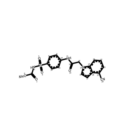 COC(=O)NS(=O)(=O)c1ccc(NC(=O)Cn2ccc3c(C#N)cccc32)cc1